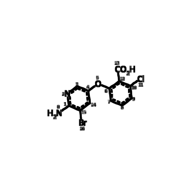 Nc1ncc(Oc2cccc(Cl)c2C(=O)O)cc1Br